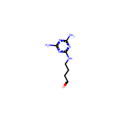 Nc1nc(N)nc(NCCCC=O)n1